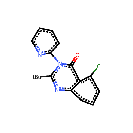 CC(C)(C)c1nc2cccc(Cl)c2c(=O)n1-c1ccccn1